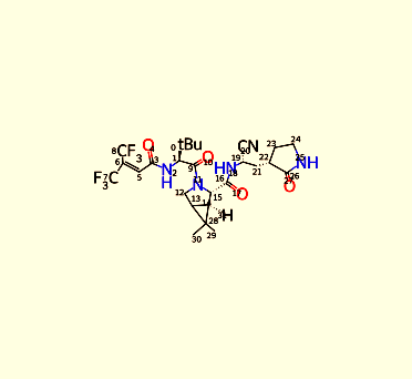 CC(C)(C)[C@H](NC(=O)C=C(C(F)(F)F)C(F)(F)F)C(=O)N1CC2[C@@H]([C@H]1C(=O)N[C@H](C#N)C[C@@H]1CCNC1=O)C2(C)C